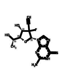 C#CC1(F)[C@@H](O)[C@@H]([C@H](C)O)O[C@H]1n1cnc2c(=S)[nH]c(N)nc21